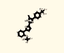 Cc1[nH]c(-c2ccc(C3=CC=CCC3OC(F)(F)F)o2)nc1-c1ccc(C(F)(F)F)cc1